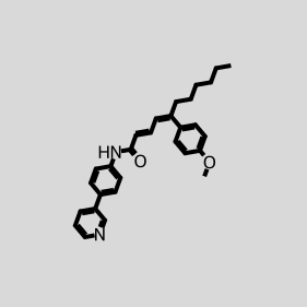 CCCCCCC(=CC=CC(=O)Nc1ccc(-c2cccnc2)cc1)c1ccc(OC)cc1